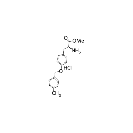 COC(=O)[C@@H](N)Cc1ccc(OCc2ccc(C)cc2)cc1.Cl